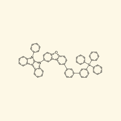 c1ccc(-n2c3ccccc3c3c4ccccc4n(-c4ccc5oc6ccc(-c7cccc(-c8cccc([Si](c9ccccc9)(c9ccccc9)c9ccccc9)c8)c7)cc6c5c4)c32)cc1